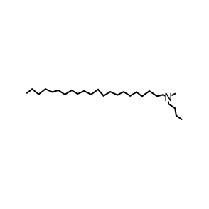 CCCCCCCCCCCCCCCCCCCCCCN(C)CCCC